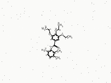 CCOc1cc(C(=O)Oc2c(C)ccc(C)c2C)cc(OCC)c1OCC